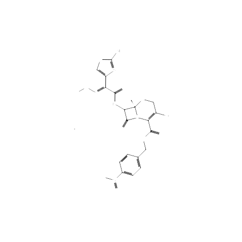 CON=C(C(=O)NC1C(=O)N2C(C(=O)OCc3ccc([N+](=O)[O-])cc3)=C(O)CS[C@@H]12)c1csc(N)n1.Cl